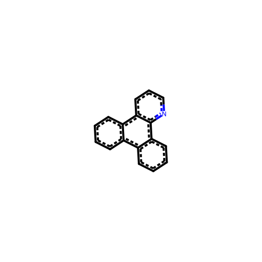 c1ccc2c(c1)c1ccccc1c1ncccc21